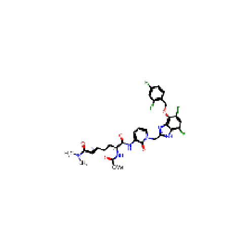 COC(=O)N[C@@H](CC/C=C/C(=O)N(C)C)C(=O)Nc1cccn(Cc2nc3c(OCc4ccc(F)cc4F)c(F)cc(F)c3[nH]2)c1=O